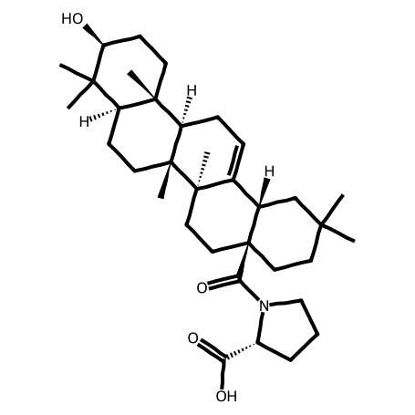 CC1(C)CC[C@]2(C(=O)N3CCC[C@@H]3C(=O)O)CC[C@]3(C)C(=CC[C@@H]4[C@@]5(C)CC[C@H](O)C(C)(C)[C@@H]5CC[C@]43C)[C@@H]2C1